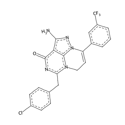 Nc1nn2c3c1c(=O)nc(Cc1ccc(Cl)cc1)n3CC=C2c1cccc(C(F)(F)F)c1